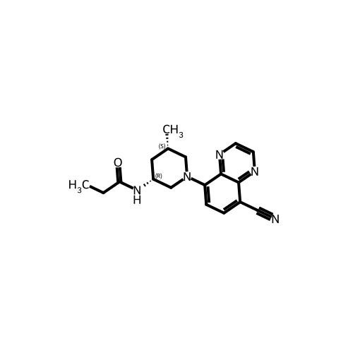 CCC(=O)N[C@@H]1C[C@H](C)CN(c2ccc(C#N)c3nccnc23)C1